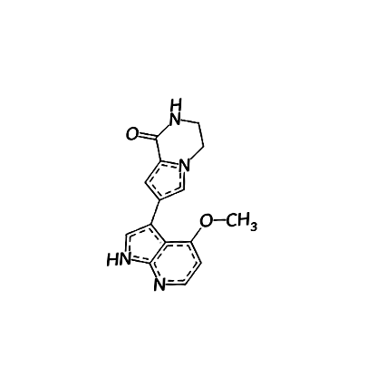 COc1ccnc2[nH]cc(-c3cc4n(c3)CCNC4=O)c12